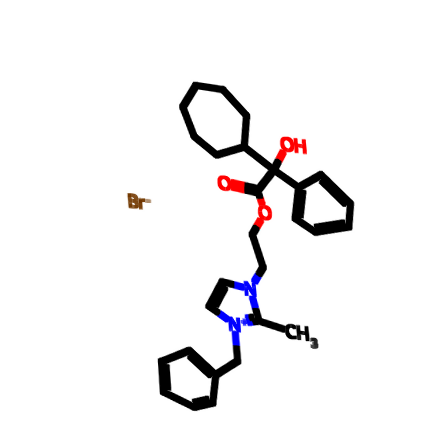 Cc1n(CCOC(=O)C(O)(c2ccccc2)C2CCCCCC2)cc[n+]1Cc1ccccc1.[Br-]